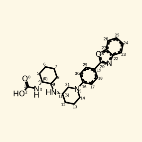 O=C(O)N[C@@H]1CCCC[C@H]1N[C@H]1CCCN(c2ccc(-c3nc4ccccc4o3)cc2)C1